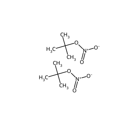 CC(C)(C)O[N+](=O)[O-].CC(C)(C)O[N+](=O)[O-]